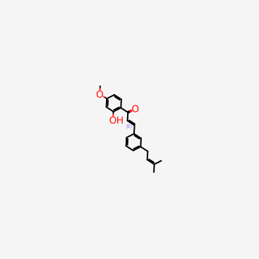 COc1ccc(C(=O)/C=C/c2cccc(CC=C(C)C)c2)c(O)c1